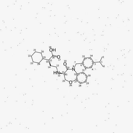 CC(C)c1ccc(CN2C(=O)[C@H](NCC[C@H](C(=O)O)C3CCCCC3)COc3ccccc32)cc1